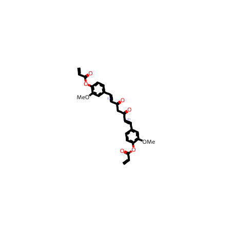 C=CC(=O)Oc1ccc(/C=C/C(=O)CC(=O)/C=C/c2ccc(OC(=O)C=C)c(OC)c2)cc1OC